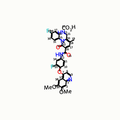 COc1cc2nccc(Oc3ccc(NC(=O)c4cc(C)c(CNC(=O)O)n(-c5ccc(F)cc5)c4=O)cc3F)c2cc1OC